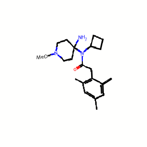 CON1CCC(N)(N(C(=O)Cc2c(C)cc(C)cc2C)C2CCC2)CC1